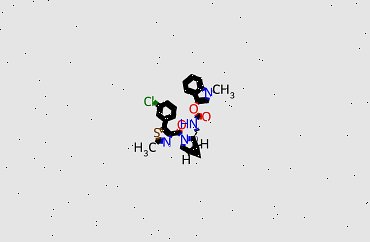 Cc1nc(C(=O)N2C[C@@H]3C[C@@H]3[C@H]2CNC(=O)Oc2cn(C)c3ccccc23)c(-c2cccc(Cl)c2)s1